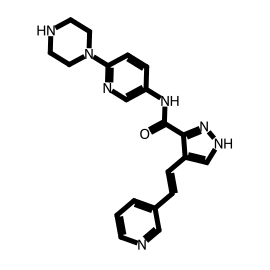 O=C(Nc1ccc(N2CCNCC2)nc1)c1n[nH]cc1/C=C/c1cccnc1